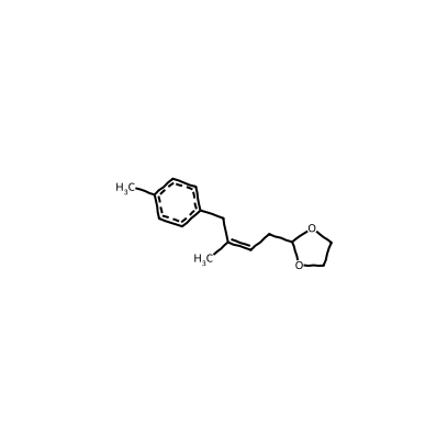 C/C(=C/CC1OCCO1)Cc1ccc(C)cc1